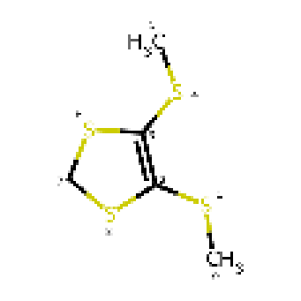 CSC1=C(SC)SCS1